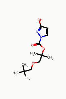 CC(C)(COCC(C)(C)C(F)(F)F)OC(=O)n1ccc(O)n1